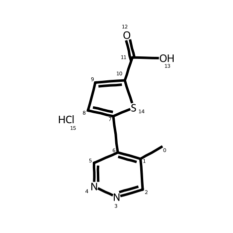 Cc1cnncc1-c1ccc(C(=O)O)s1.Cl